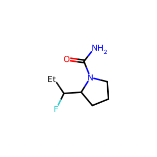 CCC(F)C1CCCN1C(N)=O